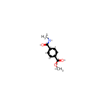 C[N]C(=O)c1ccc(C(=O)OC)cc1